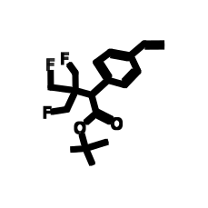 C=Cc1ccc(C(C(=O)OC(C)(C)C)C(CF)(CF)CF)cc1